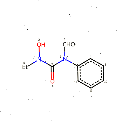 CCN(O)C(=O)N([C]=O)c1ccccc1